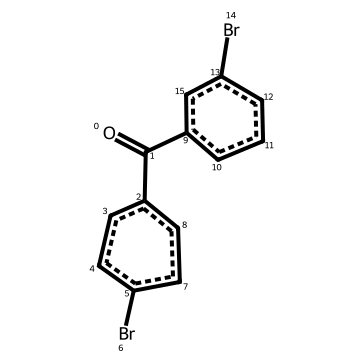 O=C(c1ccc(Br)cc1)c1cccc(Br)c1